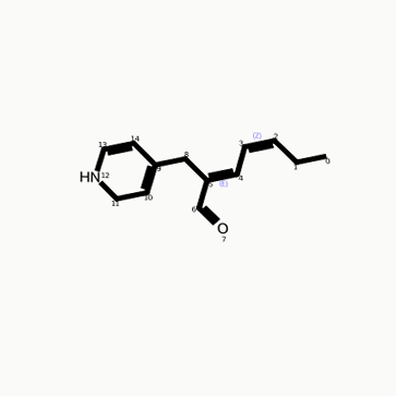 CC/C=C\C=C(\C=O)CC1=CCNC=C1